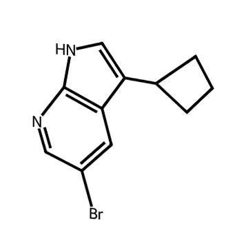 Brc1cnc2[nH]cc(C3CCC3)c2c1